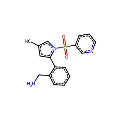 N#Cc1cc(-c2ccccc2CN)n(S(=O)(=O)c2cccnc2)c1